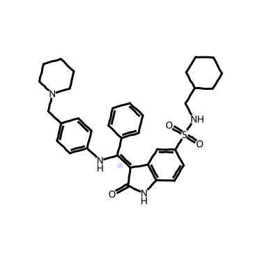 O=C1Nc2ccc(S(=O)(=O)NCC3CCCCC3)cc2/C1=C(/Nc1ccc(CN2CCCCC2)cc1)c1ccccc1